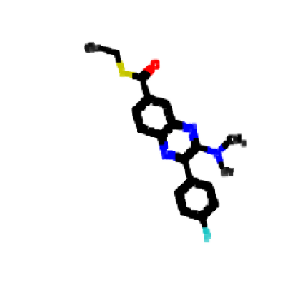 CC(C)N(C)c1nc2cc(C(=O)SCC(C)(C)C)ccc2nc1-c1ccc(F)cc1